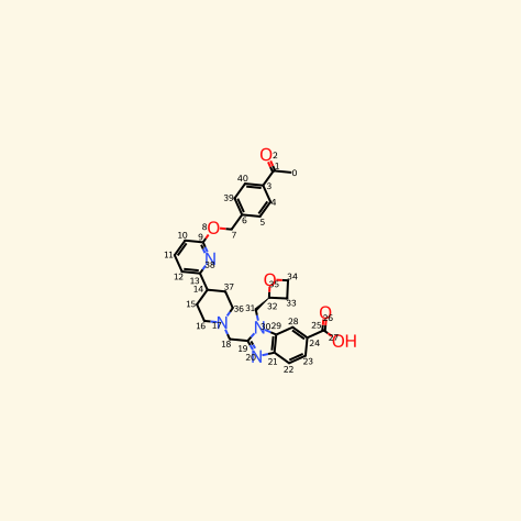 CC(=O)c1ccc(COc2cccc(C3CCN(Cc4nc5ccc(C(=O)O)cc5n4C[C@@H]4CCO4)CC3)n2)cc1